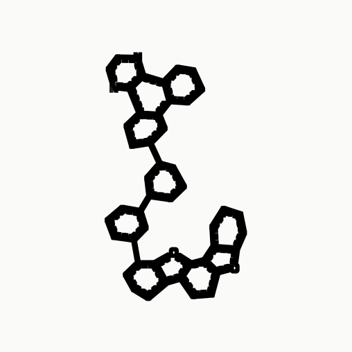 c1cc(-c2cccc(-c3cccc4c3oc3c4ccc4oc5ccccc5c43)c2)cc(-c2ccc3c(c2)c2ccccc2c2nccnc32)c1